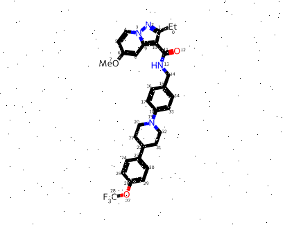 CCc1nn2ccc(OC)cc2c1C(=O)NCc1ccc(N2CCC(c3ccc(OC(F)(F)F)cc3)CC2)cc1